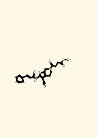 COC(=O)CCC(=O)N1CCc2c(sc(NC(=O)/C=C/c3ccccc3)c2C#N)C1